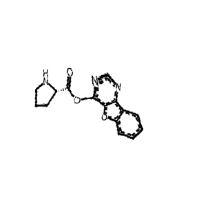 O=C(Oc1ncnc2c1oc1ccccc12)[C@@H]1CCCN1